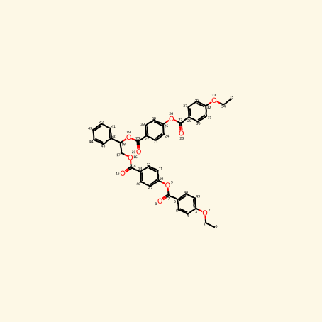 CCOc1ccc(C(=O)Oc2ccc(C(=O)OCC(OC(=O)c3ccc(OC(=O)c4ccc(OCC)cc4)cc3)c3ccccc3)cc2)cc1